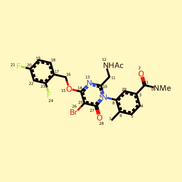 CNC(=O)c1ccc(C)c(-n2c(CNC(C)=O)nc(OCc3ccc(F)cc3F)c(Br)c2=O)c1